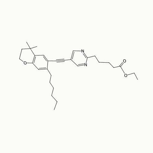 CCCCCCc1cc2c(cc1C#Cc1cnc(CCCCC(=O)OCC)nc1)C(C)(C)CCO2